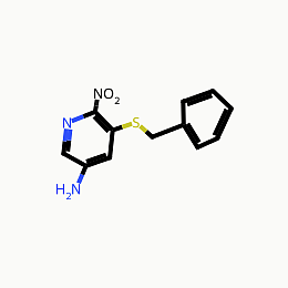 Nc1cnc([N+](=O)[O-])c(SCc2ccccc2)c1